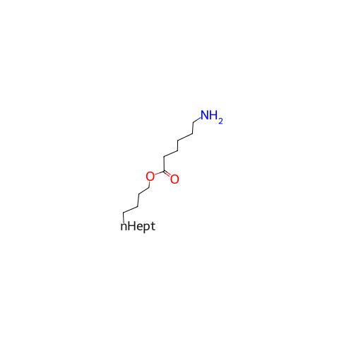 CCCCCCCCCCCOC(=O)CCCCCN